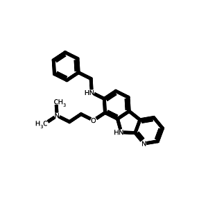 CN(C)CCOc1c(NCc2ccccc2)ccc2c1[nH]c1ncccc12